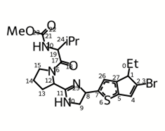 CCC1C(Br)=Cc2sc(C3CNC(C4CCCN4C(=O)C(NC(=O)OC)C(C)C)=N3)cc21